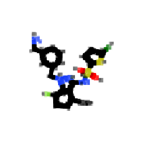 COc1ccc(F)c2c1c(NS(=O)(=O)c1ccc(Cl)s1)nn2Cc1cccc(CN)c1